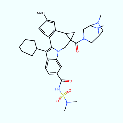 COc1ccc2c(c1)C1CC1(C(=O)N1CC3CN(C)C(C1)N3C)Cn1c-2c(C2CCCCC2)c2ccc(C(=O)NS(=O)(=O)N(C)C)cc21